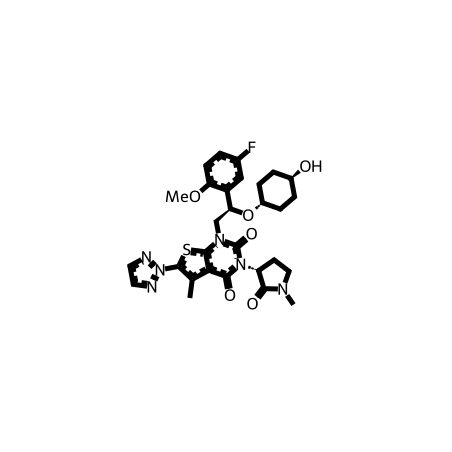 COc1ccc(F)cc1[C@H](Cn1c(=O)n([C@@H]2CCN(C)C2=O)c(=O)c2c(C)c(-n3nccn3)sc21)O[C@H]1CC[C@H](O)CC1